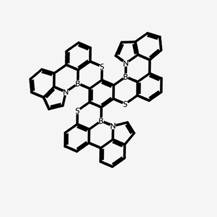 c1cc2c3c(c1)-c1cccc4ccn(c14)B3c1c(c3c(c4c1Sc1cccc5c1B4n1ccc4cccc-5c41)Sc1cccc4c1B3n1ccc3cccc-4c31)S2